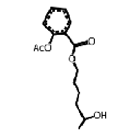 CC(=O)Oc1ccccc1C(=O)OCCCCC(C)O